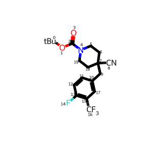 CC(C)(C)OC(=O)N1CCC(C#N)(Cc2ccc(F)c(C(F)(F)F)c2)CC1